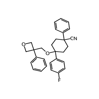 N#CC1(c2ccccc2)CCC(OCC2(c3ccccc3)COC2)(c2ccc(F)cc2)CC1